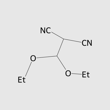 CCOC(OCC)C(C#N)C#N